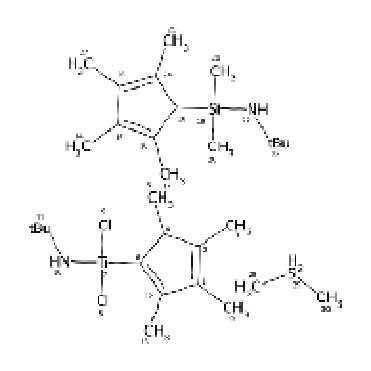 CC1=C(C)C(C)[C]([Ti]([Cl])([Cl])[NH]C(C)(C)C)=C1C.CC1=C(C)C([Si](C)(C)NC(C)(C)C)C(C)=C1C.C[SiH2]C